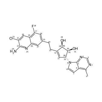 Cc1ncnc2c1ccn2[C@@H]1C=C(CCc2cc(F)c3cc(Cl)c(N)nc3c2)[C@@H](O)[C@H]1O